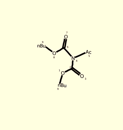 CCCCOC(=O)N(C(C)=O)C(=O)OCCCC